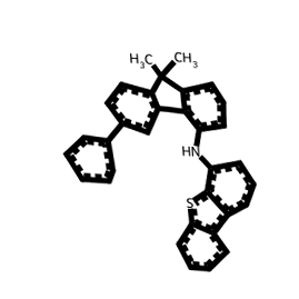 CC1(C)c2ccc(-c3ccccc3)cc2-c2c(Nc3cccc4c3sc3ccccc34)cccc21